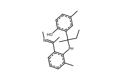 CCC(C)(Pc1c(C)cccc1/C(C)=N/C)c1cc(C)ccc1O